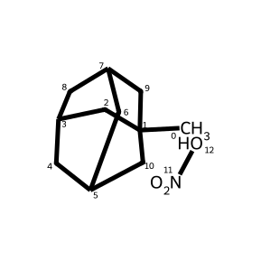 CC12CC3CC(CC(C3)C1)C2.O=[N+]([O-])O